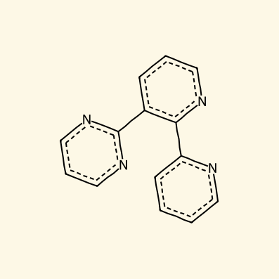 c1ccc(-c2ncccc2-c2ncccn2)nc1